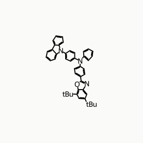 CC(C)(C)c1cc(C(C)(C)C)c2oc(-c3ccc(N(c4ccccc4)c4ccc(-n5c6ccccc6c6ccccc65)cc4)cc3)nc2c1